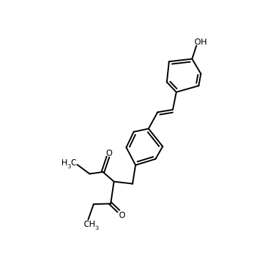 CCC(=O)C(Cc1ccc(C=Cc2ccc(O)cc2)cc1)C(=O)CC